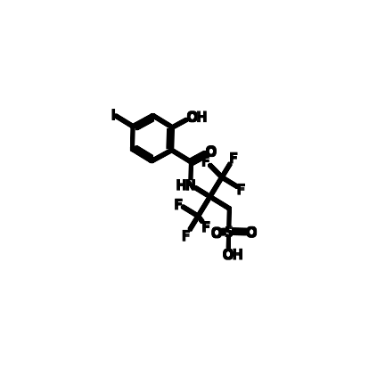 O=C(NC(CS(=O)(=O)O)(C(F)(F)F)C(F)(F)F)c1ccc(I)cc1O